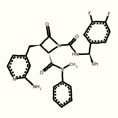 CCC[C@@H](NC(=O)N1C(=O)[C@H](Cc2ccnc(N)c2)[C@H]1C(=O)N(C)c1ccccc1)c1ccc(F)c(F)c1